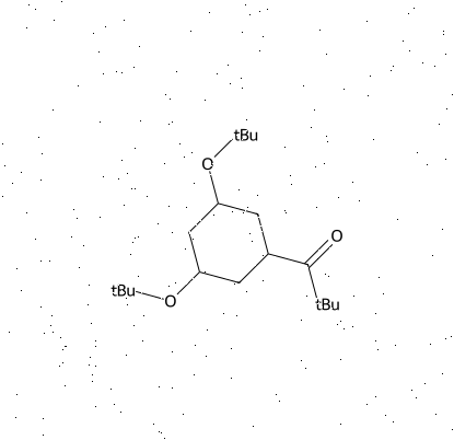 CC(C)(C)OC1CC(OC(C)(C)C)CC(C(=O)C(C)(C)C)C1